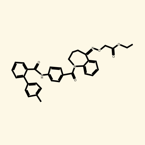 CCOC(=O)CO/N=C1/CCCN(C(=O)c2ccc(NC(=O)c3ccccc3-c3ccc(C)cc3)cc2)c2ccccc21